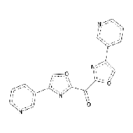 O=C(c1nc(-c2cccnc2)co1)c1nc(-c2cccnc2)co1